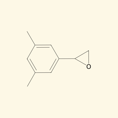 Cc1cc(C)cc(C2CO2)c1